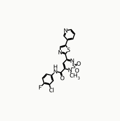 CN1C(C(=O)Nc2ccc(F)c(Cl)c2)=CC(c2ncc(-c3cccnc3)s2)=NS1(=O)=O